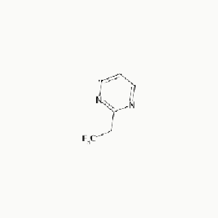 FC(F)(F)Cc1n[c]ccn1